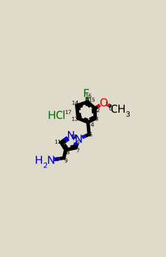 COc1cc(Cn2cc(CN)cn2)ccc1F.Cl